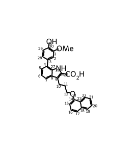 COc1cc(-c2cccc3c(CCCOc4cccc5ccccc45)c(C(=O)O)[nH]c23)ccc1O